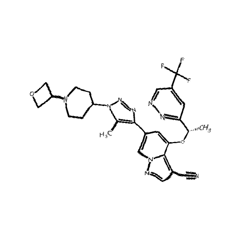 Cc1c(-c2cc(O[C@@H](C)c3cc(C(F)(F)F)cnn3)c3c(C#N)cnn3c2)nnn1C1CCN(C2COC2)CC1